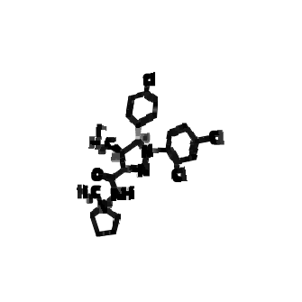 C[C@@H]1C(C(=O)N[N+]2(C)CCCC2)=NN(c2ccc(Cl)cc2Cl)[C@H]1c1ccc(Cl)cc1.[I-]